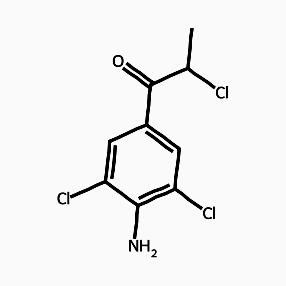 CC(Cl)C(=O)c1cc(Cl)c(N)c(Cl)c1